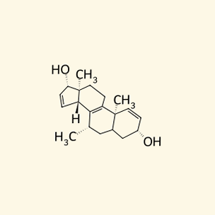 C[C@H]1CC2C[C@@H](O)C=C[C@]2(C)C2=C1[C@@H]1C=C[C@H](O)[C@@]1(C)CC2